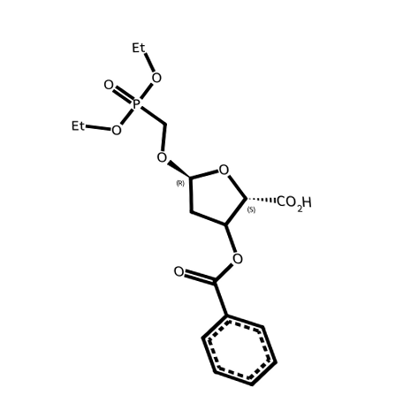 CCOP(=O)(CO[C@@H]1CC(OC(=O)c2ccccc2)[C@@H](C(=O)O)O1)OCC